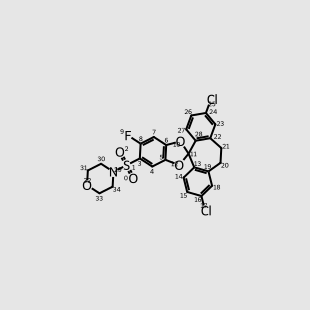 O=S(=O)(c1cc2c(cc1F)OC1(O2)c2ccc(Cl)cc2CCc2cc(Cl)ccc21)N1CCOCC1